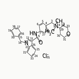 C[N+](C)(Cc1ccc(NC(=O)c2cn(Cc3ccccc3)c3ccccc23)cc1)C1CCOCC1.[Cl-]